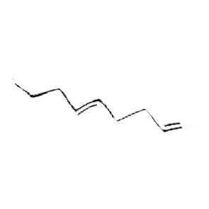 C=CCCC=CCC[O]